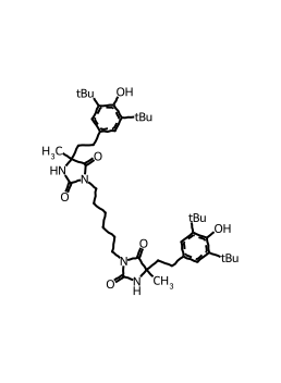 CC1(CCc2cc(C(C)(C)C)c(O)c(C(C)(C)C)c2)NC(=O)N(CCCCCCN2C(=O)NC(C)(CCc3cc(C(C)(C)C)c(O)c(C(C)(C)C)c3)C2=O)C1=O